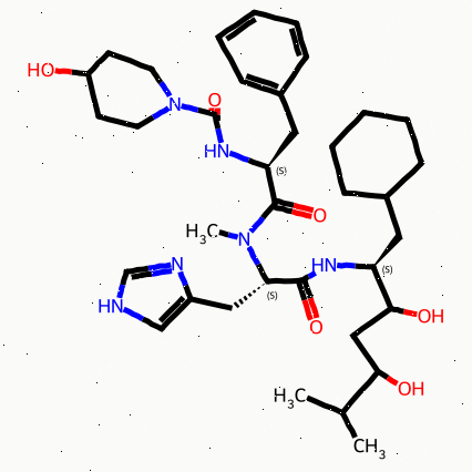 CC(C)C(O)CC(O)[C@H](CC1CCCCC1)NC(=O)[C@H](Cc1c[nH]cn1)N(C)C(=O)[C@H](Cc1ccccc1)NC(=O)N1CCC(O)CC1